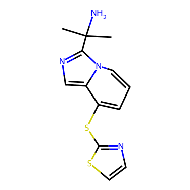 CC(C)(N)c1ncc2c(Sc3nccs3)cccn12